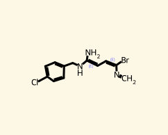 C=N/C(Br)=C\C=C(/N)NCc1ccc(Cl)cc1